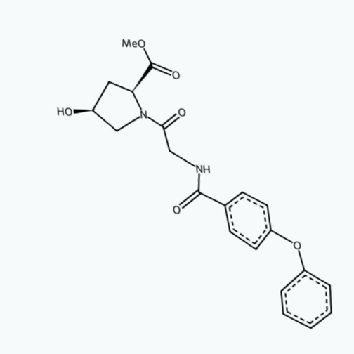 COC(=O)[C@@H]1C[C@H](O)CN1C(=O)CNC(=O)c1ccc(Oc2ccccc2)cc1